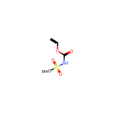 C=COC(=O)NS(=O)(=O)OC